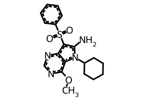 COc1ncnc2c(S(=O)(=O)c3ccccc3)c(N)n(C3CCCCC3)c12